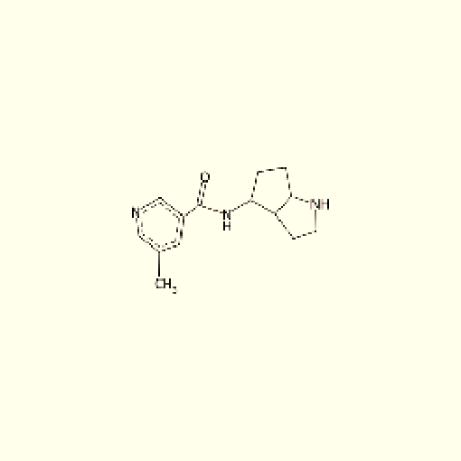 Cc1cncc(C(=O)NC2CCC3NCCC32)c1